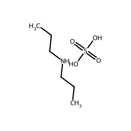 CCCNCCC.O=S(=O)(O)O